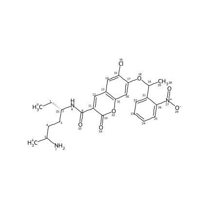 CC[C@@H](CCC(C)N)NC(=O)c1cc2cc(Cl)c(OC(C)c3ccccc3[N+](=O)[O-])cc2oc1=O